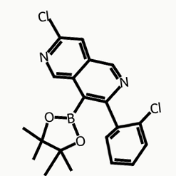 CC1(C)OB(c2c(-c3ccccc3Cl)ncc3cc(Cl)ncc23)OC1(C)C